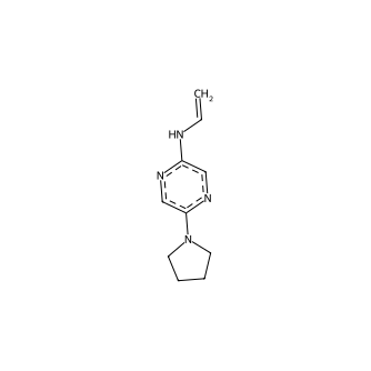 C=CNc1cnc(N2CCCC2)cn1